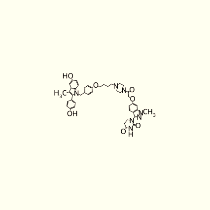 Cc1c(-c2ccc(O)cc2)n(Cc2ccc(OCCCCN3CCN(C(=O)COc4ccc5c(N6CCC(=O)NC6=O)nn(C)c5c4)CC3)cc2)c2ccc(O)cc12